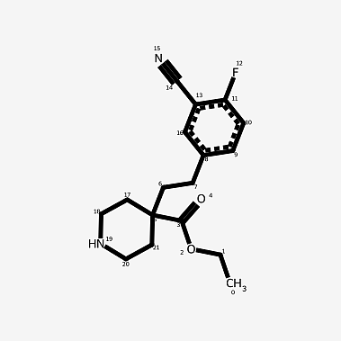 CCOC(=O)C1(CCc2ccc(F)c(C#N)c2)CCNCC1